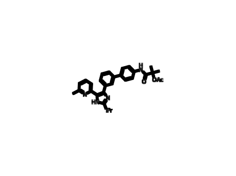 CC(=O)OC(C)(C)C(=O)Nc1ccc(-c2cccc(-c3nc(C(C)C)[nH]c3-c3cccc(C)n3)c2)cc1